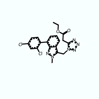 CCOC(=O)Cc1nnnn1Cc1c2cccc(-c3ccc(Cl)cc3Cl)c2nn1C